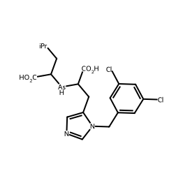 CC(C)CC([AsH]C(Cc1cncn1Cc1cc(Cl)cc(Cl)c1)C(=O)O)C(=O)O